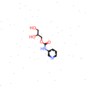 O=C(Nc1cccnc1)OCC(O)CO